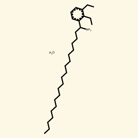 CCCCCCCCCCCCCCCCCCCC(N)c1cccc(CC)c1CC.O